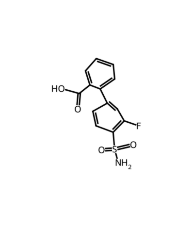 NS(=O)(=O)c1ccc(-c2ccccc2C(=O)O)cc1F